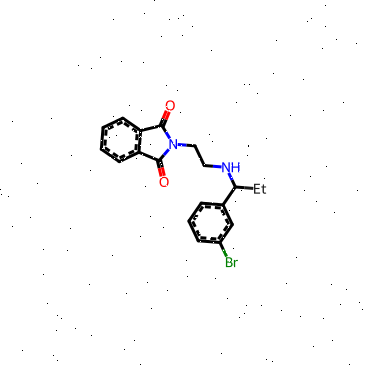 CCC(NCCN1C(=O)c2ccccc2C1=O)c1cccc(Br)c1